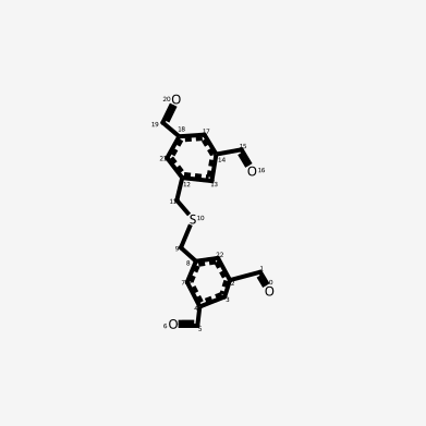 O=Cc1cc(C=O)cc(CSCc2cc(C=O)cc(C=O)c2)c1